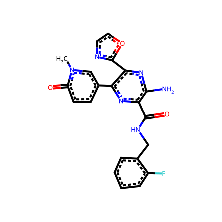 Cn1cc(-c2nc(C(=O)NCc3ccccc3F)c(N)nc2-c2ncco2)ccc1=O